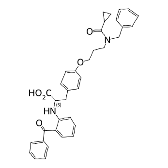 O=C(c1ccccc1)c1ccccc1N[C@@H](Cc1ccc(OCCCN(Cc2ccccc2)C(=O)C2CC2)cc1)C(=O)O